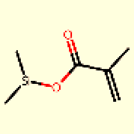 C=C(C)C(=O)O[Si](C)C